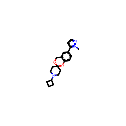 Cn1nccc1-c1ccc2c(c1)COC1(CCN(C3CCC3)CC1)O2